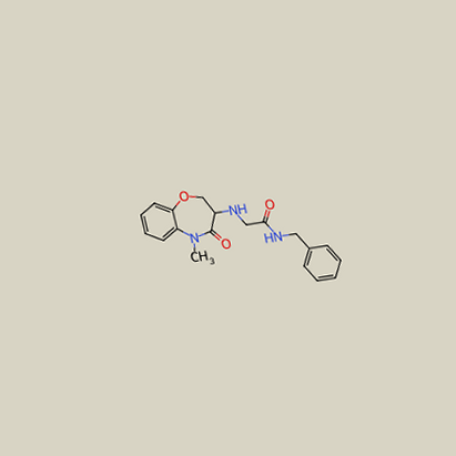 CN1C(=O)C(NCC(=O)NCc2ccccc2)COc2ccccc21